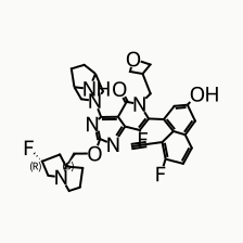 C#Cc1c(F)ccc2cc(O)cc(-c3c(F)c4nc(OC[C@@]56CCCN5C[C@H](F)C6)nc(N5CC6CCC(C5)N6)c4c(=O)n3CC3COC3)c12